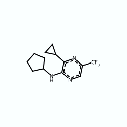 FC(F)(F)c1cnc(NC2CCCC2)c(C2CC2)n1